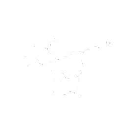 COCCOCC(CSCCOCC(CSCC(COC(C)=O)OC(C)=O)SCC(COC(C)=O)OC(C)=O)SCCOCC(CSCC(CCOC(C)=O)OC(C)=O)SCC(COC(C)=O)OC(C)=O